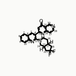 O=c1cc(-c2cc3ccccc3nc2N2CC[C@@H]3CC(F)(F)C[C@@H]3C2)[nH]c2ccncc12